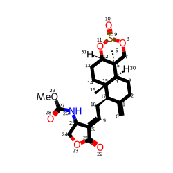 C=C1CC[C@@H]2[C@]3(C)COS(=O)O[C@@H]3CC[C@@]2(C)[C@@H]1C/C=C1/C(=O)OCC1NC(=O)OC